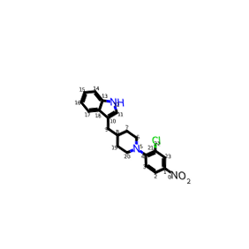 O=[N+]([O-])c1ccc(N2CCC(Cc3c[nH]c4ccccc34)CC2)c(Cl)c1